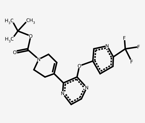 CC(C)(C)OC(=O)N1CC=C(c2nccnc2Oc2ccc(C(F)(F)F)nc2)CC1